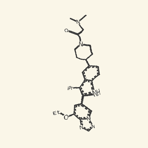 CCOc1cc(-c2[nH]c3ccc(C4CCN(C(=O)CN(C)C)CC4)cc3c2C(C)C)cn2ncnc12